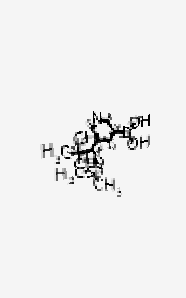 C[SiH](C)OC(c1cncc(B(O)O)c1)C(C)(C)C